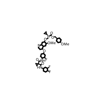 COc1ccc(COC(=O)N(COc2cc3nccc(Oc4ccc(NC(=O)C5(C(=O)Nc6ccc(F)c(F)c6)CC5)c(F)c4)c3cc2OC)C2CC2)cc1